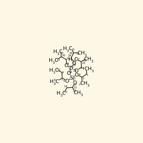 CCC(C)O[Si](OC(C)CC)(OC(C)CC)[O][Zr]([O]CC(C)C)([O]CC(C)C)[O]CC(C)C